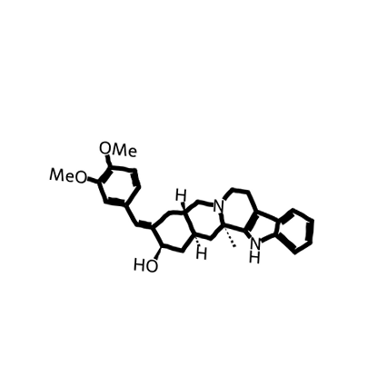 COc1ccc(/C=C2\C[C@@H]3CN4CCc5c([nH]c6ccccc56)[C@@]4(C)C[C@H]3C[C@H]2O)cc1OC